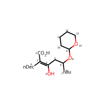 CCCCCCCCCCC(C(=O)O)=C(O)CC(CCCC)OC1CCCCO1